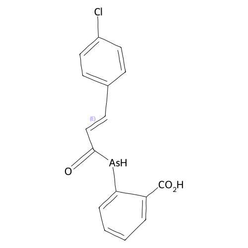 O=C(/C=C/c1ccc(Cl)cc1)[AsH]c1ccccc1C(=O)O